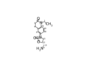 CCN1C(=O)CCc2cc(N3C[C@H](CN)OC3=O)ccc21